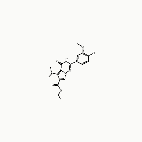 CCOC(=O)c1cn2nc(-c3ccc(Cl)c(OC)c3)[nH]c(=O)c2c1C(C)C